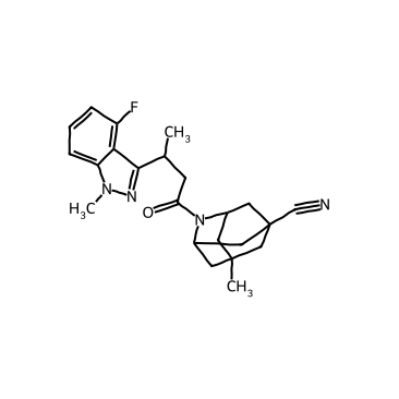 CC(CC(=O)N1C2CC3(C)CC1CC(C#N)(C2)C3)c1nn(C)c2cccc(F)c12